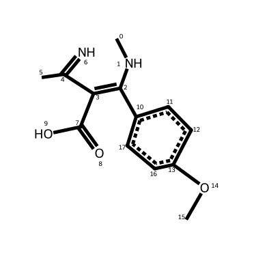 CN/C(=C(\C(C)=N)C(=O)O)c1ccc(OC)cc1